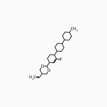 C=CC1COC(C2C=C(F)C(C3CCC(C4CCC(C)CC4)CC3)CC2)OC1